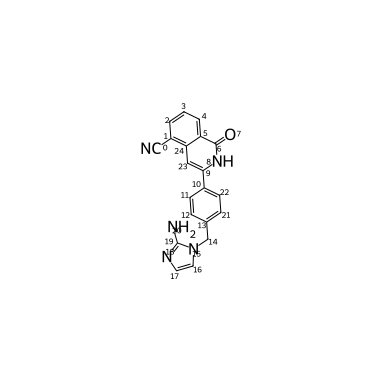 N#Cc1cccc2c(=O)[nH]c(-c3ccc(Cn4ccnc4N)cc3)cc12